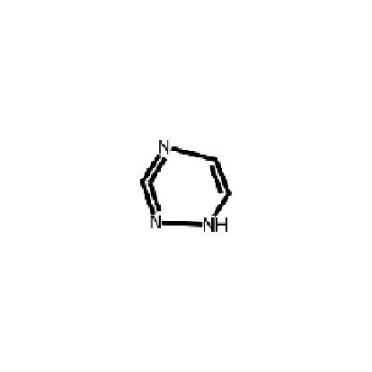 C1=NC=CNN=1